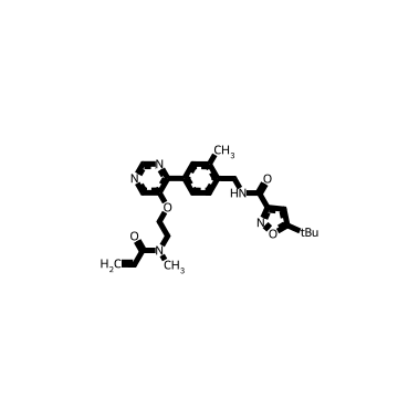 C=CC(=O)N(C)CCOc1cncnc1-c1ccc(CNC(=O)c2cc(C(C)(C)C)on2)c(C)c1